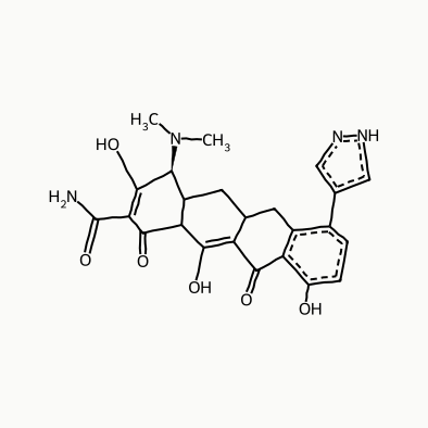 CN(C)[C@@H]1C(O)=C(C(N)=O)C(=O)C2C(O)=C3C(=O)c4c(O)ccc(-c5cn[nH]c5)c4CC3CC21